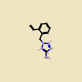 C=Cc1ccccc1Cn1nnc(N)n1